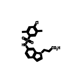 Cc1cc(S(=O)(=O)Nc2ccc3ccn(CCC(=O)O)c3c2)c(C)cc1Cl